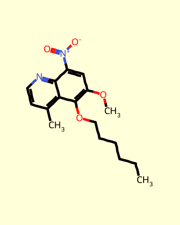 CCCCCCOc1c(OC)cc([N+](=O)[O-])c2nccc(C)c12